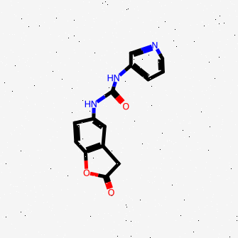 O=C(Nc1cccnc1)Nc1ccc2c(c1)CC(=O)O2